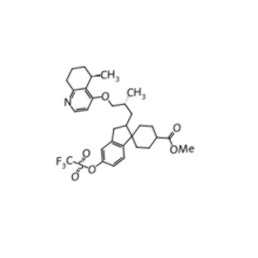 COC(=O)C1CCC2(CC1)c1ccc(OS(=O)(=O)C(F)(F)F)cc1CC2C[C@@H](C)COc1ccnc2c1[C@H](C)CCC2